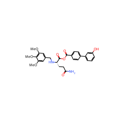 COc1cc(CN[C@@H](CCC(N)=O)C(=O)OC(=O)c2ccc(-c3cccc(O)c3)cc2)cc(OC)c1OC